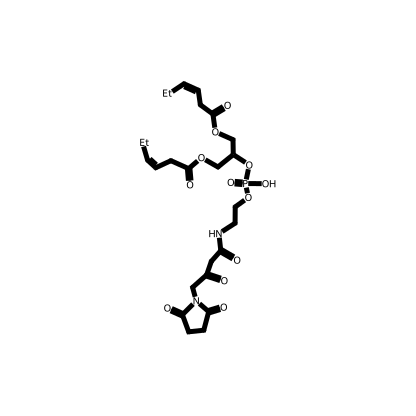 CC/C=C\CC(=O)OCC(COC(=O)C/C=C\CC)OP(=O)(O)OCCNC(=O)CC(=O)CN1C(=O)CCC1=O